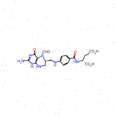 Nc1nc(=O)c2c([nH]1)NC[C@H](CNc1ccc(C(=O)N[C@H](CCC(=O)O)C(=O)O)cc1)N2C=O